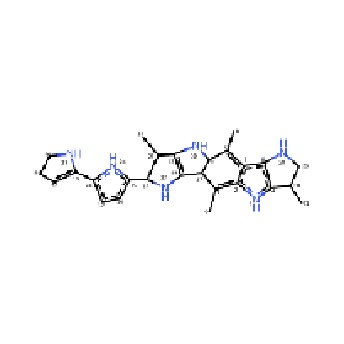 CC1=c2[nH]c3c(c2=C(C)C2NC4=C(NC(c5ccc(C6=CCCN6)[nH]5)C4C)C12)NCC3C